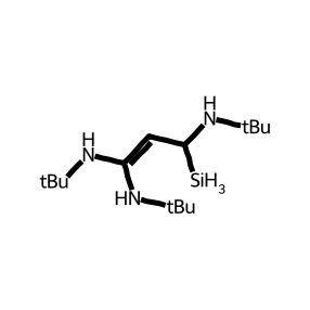 CC(C)(C)NC(=CC([SiH3])NC(C)(C)C)NC(C)(C)C